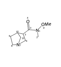 CON(C)C(=O)C1CN2CCC1C2